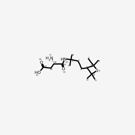 CC(C)(CCC1C(C)(C)SC1(C)C)NC(=O)[C@@H](N)CC(=O)O